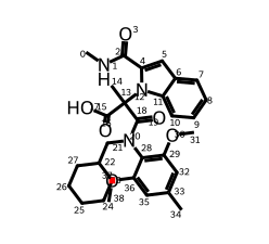 CNC(=O)c1cc2ccccc2n1C(C)(C(=O)O)C(=O)N(CC1CCCCC1)c1c(OC)cc(C)cc1OC